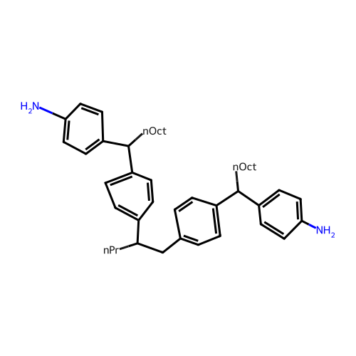 CCCCCCCCC(c1ccc(N)cc1)c1ccc(CC(CCC)c2ccc(C(CCCCCCCC)c3ccc(N)cc3)cc2)cc1